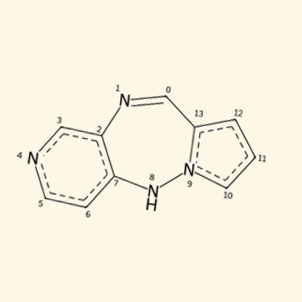 C1=Nc2cnccc2Nn2cccc21